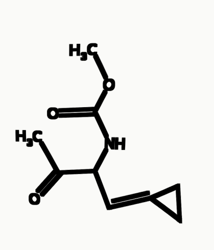 COC(=O)NC(C=C1CC1)C(C)=O